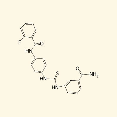 NC(=O)c1cccc(NC(=S)Nc2ccc(NC(=O)c3ccccc3F)cc2)c1